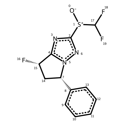 [O-][S+](c1nc2n(n1)[C@H](c1ccccc1)C[C@@H]2F)C(F)F